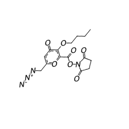 CCCCOc1c(C(=O)ON2C(=O)CCC2=O)oc(CN=[N+]=[N-])cc1=O